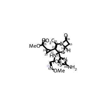 CO/N=C\C(=O)NC1(c2csc(N)n2)S[C@H]2CC(=O)N2C(C(=O)O)=C1C1CC1C(=O)OC